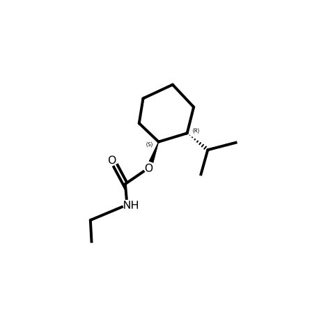 CCNC(=O)O[C@H]1CCCC[C@@H]1C(C)C